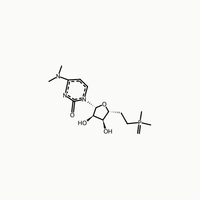 C=P(C)(C)CC[C@H]1O[C@@H](n2ccc(N(C)C)nc2=O)[C@H](O)[C@@H]1O